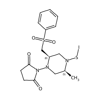 C[C@H]1CN(N2C(=O)CCC2=O)[C@@H](CS(=O)(=O)c2ccccc2)CN1SI